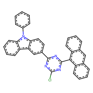 Clc1nc(-c2ccc3c(c2)c2ccccc2n3-c2ccccc2)nc(-c2c3ccccc3cc3ccccc23)n1